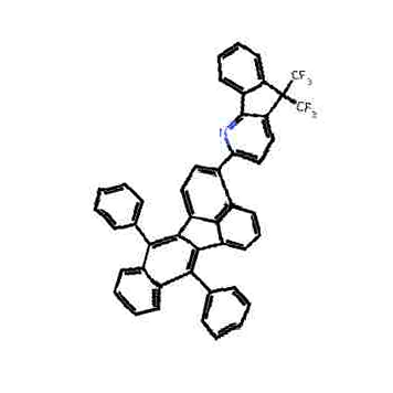 FC(F)(F)C1(C(F)(F)F)c2ccccc2-c2nc(-c3ccc4c5c(cccc35)-c3c-4c(-c4ccccc4)c4ccccc4c3-c3ccccc3)ccc21